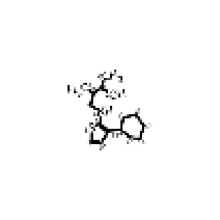 CC(O)C(C)CNc1sccc1C1CCCCC1